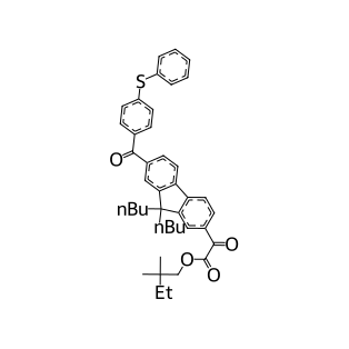 CCCCC1(CCCC)c2cc(C(=O)C(=O)OCC(C)(C)CC)ccc2-c2ccc(C(=O)c3ccc(Sc4ccccc4)cc3)cc21